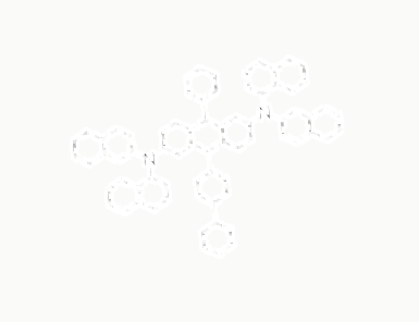 c1ccc(-c2ccc(-c3c4ccc(N(c5ccc6ccccc6c5)c5cccc6ccccc56)cc4c(-c4ccccc4)c4ccc(N(c5ccc6ccccc6c5)c5cccc6ccccc56)cc34)cc2)cc1